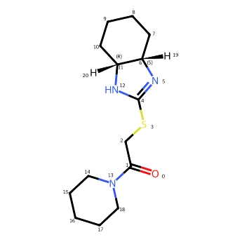 O=C(CSC1=N[C@H]2CCCC[C@H]2N1)N1CCCCC1